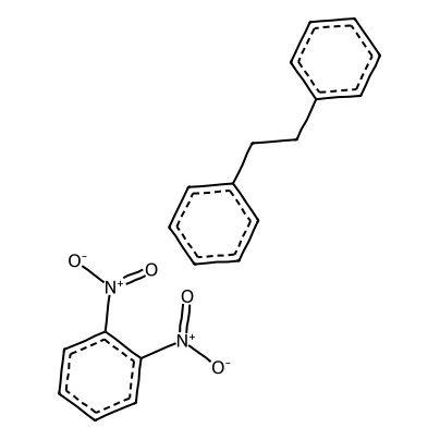 O=[N+]([O-])c1ccccc1[N+](=O)[O-].c1ccc(CCc2ccccc2)cc1